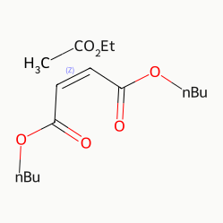 CCCCOC(=O)/C=C\C(=O)OCCCC.CCOC(C)=O